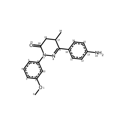 COc1cccc(N2N=C(c3ccc(N)cc3)C(C)CC2=O)c1